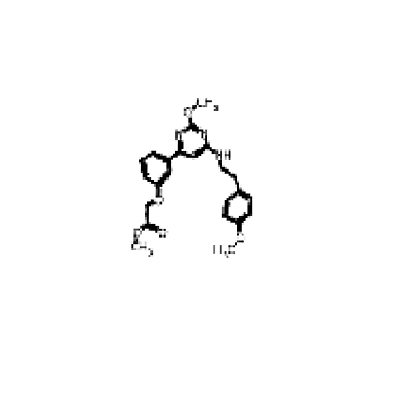 COC(=O)COc1cccc(-c2cc(NCCc3ccc(OC)cc3)nc(OC)n2)c1